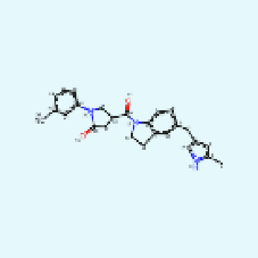 Cc1cc(Cc2ccc3c(c2)CCN3C(=O)C2CC(=O)N(c3cccc(C#N)c3)C2)c[nH]1